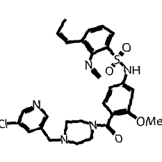 C=Nc1c(/C=C\C)cccc1S(=O)(=O)Nc1ccc(C(=O)N2CCN(Cc3cncc(Cl)c3)CC2)c(OC)c1